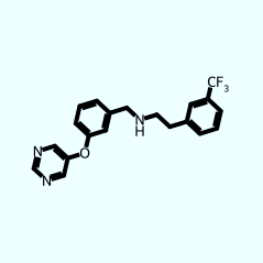 FC(F)(F)c1cccc(CCNCc2cccc(Oc3cncnc3)c2)c1